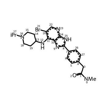 CNC(=O)Cc1ccc(-c2nc3c(NC4CCN(C(C)C)CC4)c(Br)cnc3[nH]2)cc1